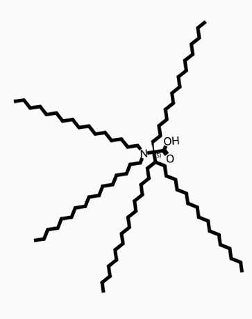 CCCCCCCCCCCCCCCCC(CCCCCCCCCCCCCCCC)[C@@](CCCCCCCCCCCCCCCC)(C(=O)O)N(CCCCCCCCCCCCCCCC)CCCCCCCCCCCCCCCC